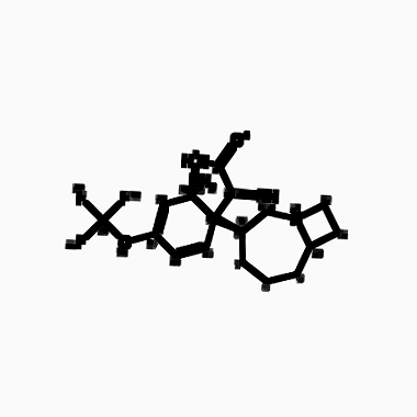 N=C(C(N)=O)C1([C@@H]2CCCC3CCN3C2)C=CC(OC(F)(F)F)=CC1N